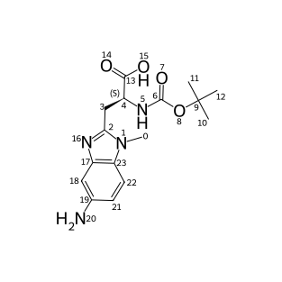 Cn1c(C[C@H](NC(=O)OC(C)(C)C)C(=O)O)nc2cc(N)ccc21